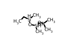 CC[SiH](C)O[SiH](C)O[SiH](C)C